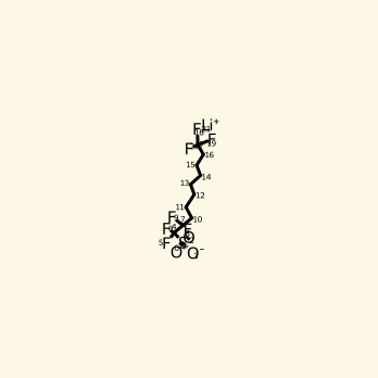 O=S(=O)([O-])C(F)(F)C(F)(F)CCCCCCCC(F)(F)F.[Li+]